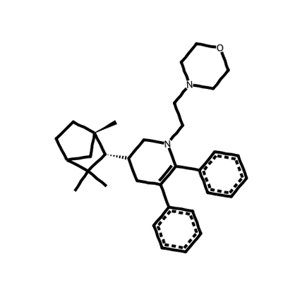 CC1(C)C2CC[C@@](C)(C2)[C@@H]1C1CC(c2ccccc2)=C(c2ccccc2)N(CCN2CCOCC2)C1